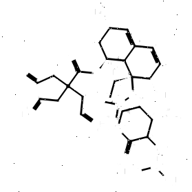 C=CCC(CC=C)(CC=C)C(=O)O[C@H]1C[C@H](C(C)(C)C)C=C2C=C[C@H](C)[C@](CC[C@@H]3C[C@H](C(C)(C)C)C(O[SiH](C)C)C(=O)O3)(O[SiH](C)C)[C@H]21